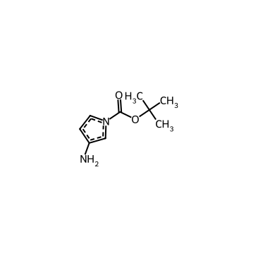 CC(C)(C)OC(=O)n1ccc(N)c1